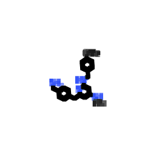 CCCCNc1cc(Cc2ccc(CN)cc2)nc(NCc2ccc(OC)cc2)c1